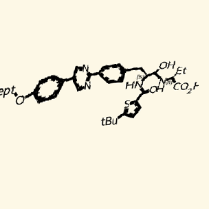 CCCCCCCOc1ccc(-c2cnc(-c3ccc(C[C@H](NC(=O)c4ccc(C(C)(C)C)s4)C(O)N[C@H](CC)C(=O)O)cc3)nc2)cc1